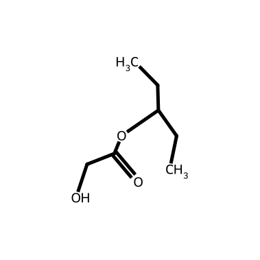 CCC(CC)OC(=O)CO